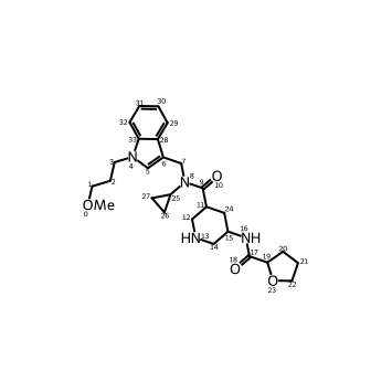 COCCCn1cc(CN(C(=O)C2CNCC(NC(=O)C3CCCO3)C2)C2CC2)c2ccccc21